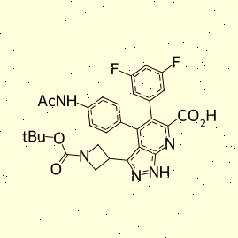 CC(=O)Nc1ccc(-c2c(-c3cc(F)cc(F)c3)c(C(=O)O)nc3[nH]nc(C4CN(C(=O)OC(C)(C)C)C4)c23)cc1